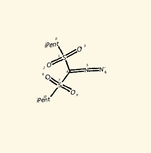 CCCC(C)S(=O)(=O)C(=[N+]=[N-])S(=O)(=O)C(C)CCC